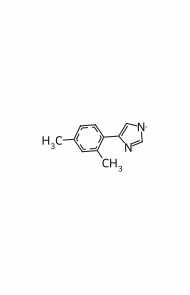 Cc1ccc(C2=C[N]C=N2)c(C)c1